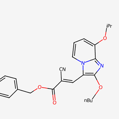 CCCCOc1nc2c(OC(C)C)cccn2c1C=C(C#N)C(=O)OCc1ccccc1